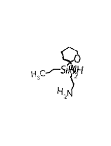 CCC[SiH2]C1(NCCN)CCCCO1